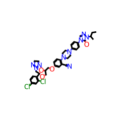 CCC(C)n1ncn(-c2ccc(N3CCN(c4ccc(OCC5COC(Cn6nccn6)(c6ccc(Cl)cc6Cl)O5)cc4C#N)CC3)cc2)c1=O